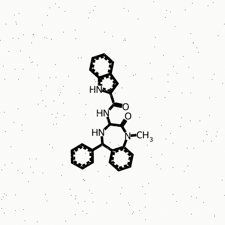 CN1C(=O)C(NC(=O)c2cc3ccccc3[nH]2)NC(c2ccccc2)c2ccccc21